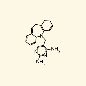 Nc1ncc(CN2C3=C(CC=C4C=CC=CC42)CCC=C3)c(N)n1